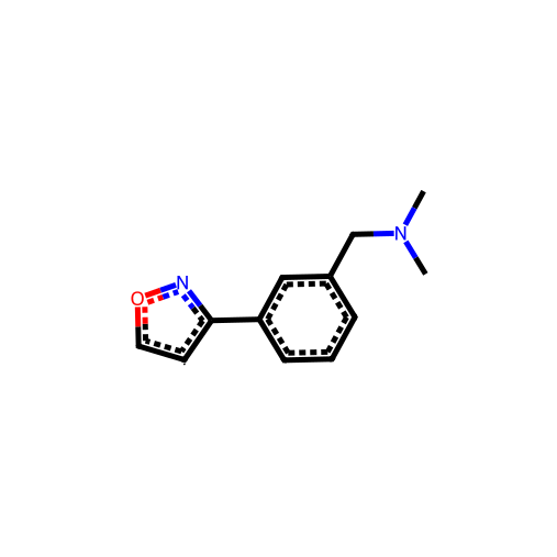 CN(C)Cc1cccc(-c2[c]con2)c1